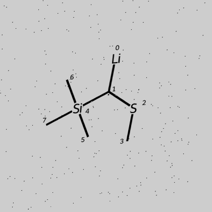 [Li][C](SC)[Si](C)(C)C